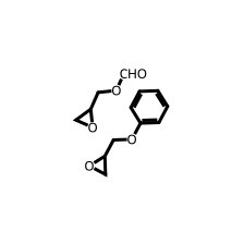 O=COCC1CO1.c1ccc(OCC2CO2)cc1